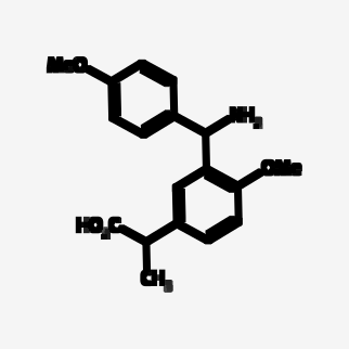 COc1ccc(C(N)c2cc(C(C)C(=O)O)ccc2OC)cc1